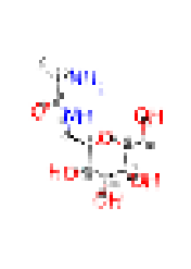 C[C@H](N)C(=O)NC[C@H]1OC(CO)C(O)[C@H](O)C1O